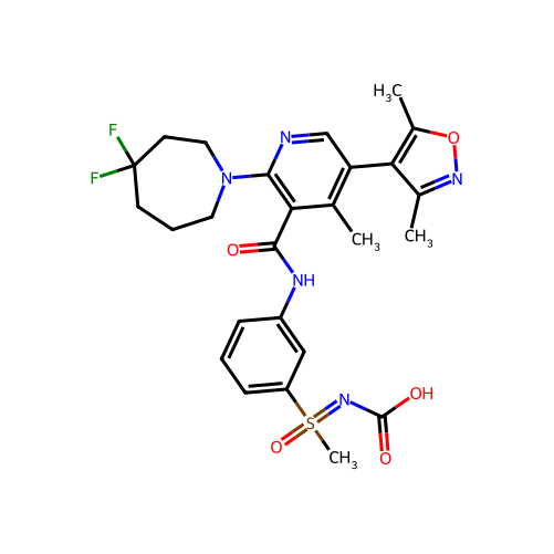 Cc1noc(C)c1-c1cnc(N2CCCC(F)(F)CC2)c(C(=O)Nc2cccc(S(C)(=O)=NC(=O)O)c2)c1C